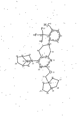 Cc1cccc(N2CCc3c(nc(OCC45CCCN4CCC5)nc3N3CC4CCC(C3)N4)C2)c1C(F)(F)F